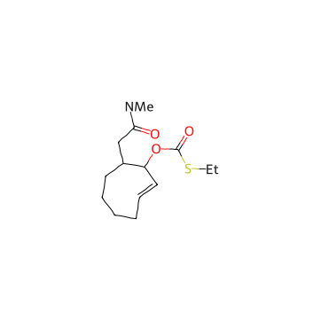 CCSC(=O)OC1/C=C/CCCCC1CC(=O)NC